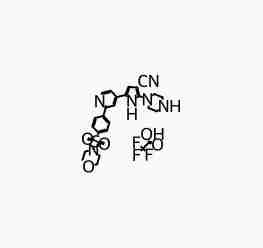 N#Cc1cc(-c2ccnc(-c3ccc(S(=O)(=O)N4CCOCC4)cc3)c2)[nH]c1N1CCNCC1.O=C(O)C(F)(F)F